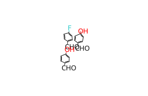 O=Cc1ccc(F)cc1.O=Cc1ccc(O)cc1.O=Cc1ccc(O)cc1